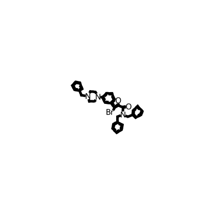 O=C(c1oc2ccc(N3CCN(Cc4ccccc4)CC3)cc2c1Br)N(Cc1ccccc1)Cc1ccccc1